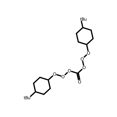 CC(C)(C)C1CCC(OOOC(=O)OOOC2CCC(C(C)(C)C)CC2)CC1